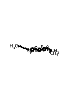 CCCCCCCCCCOc1ccc(C(=O)Oc2ccc(-c3ccc(C(=O)OCC(C)CC)cc3F)cc2)cc1F